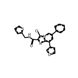 O=C(NCc1cccs1)c1nc2c(-c3ccoc3)cc(-c3ccccc3)cn2c1Cl